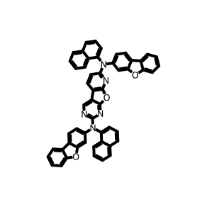 c1ccc2c(N(c3ccc4c(c3)oc3ccccc34)c3ccc4c(n3)oc3nc(N(c5ccc6c(c5)oc5ccccc56)c5cccc6ccccc56)ncc34)cccc2c1